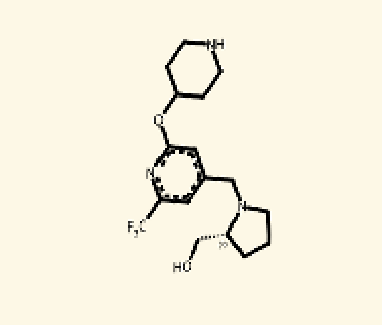 OC[C@H]1CCCN1Cc1cc(OC2CCNCC2)nc(C(F)(F)F)c1